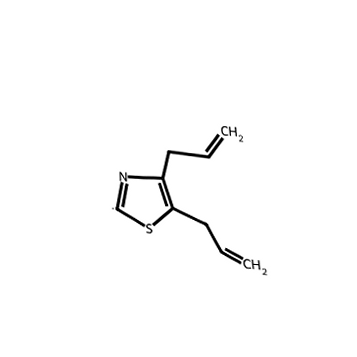 C=CCc1n[c]sc1CC=C